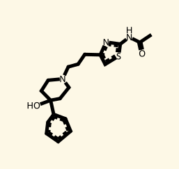 CC(=O)Nc1nc(CCCN2CCC(O)(c3ccccc3)CC2)cs1